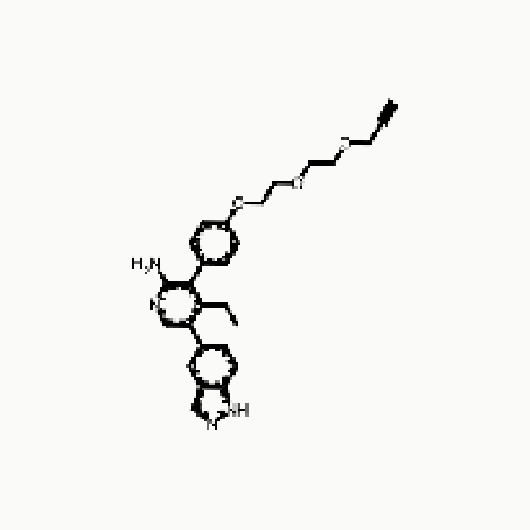 C#CCOCCOCCOc1ccc(-c2c(N)ncc(-c3ccc4[nH]ncc4c3)c2CC)cc1